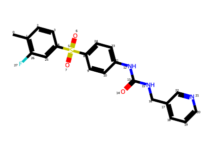 Cc1ccc(S(=O)(=O)c2ccc(NC(=O)NCc3cccnc3)cc2)cc1F